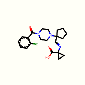 O=C(c1ccccc1Cl)N1CCN(C2(C=NC3(C(=O)O)CC3)CCCC2)CC1